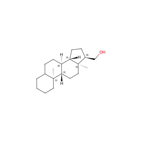 C[C@]12CC[C@H]3[C@@H](CCC4CCCC[C@@]43C)[C@@H]1CC[C@H]2CO